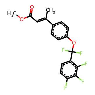 COC(=O)C=C(C)c1ccc(OC(F)(F)c2ccc(F)c(F)c2F)cc1